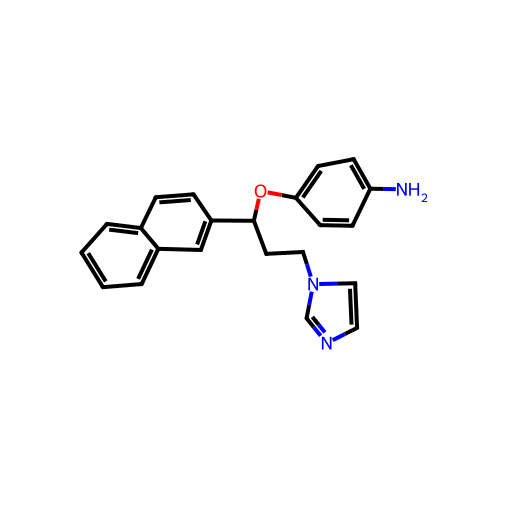 Nc1ccc(OC(CCn2ccnc2)c2ccc3ccccc3c2)cc1